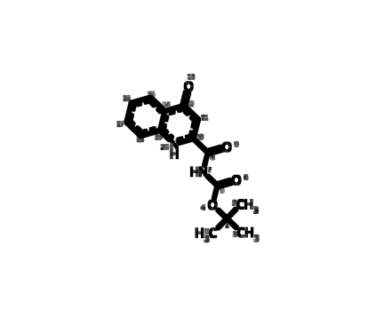 CC(C)(C)OC(=O)NC(=O)c1cc(=O)c2ccccc2[nH]1